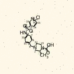 C[C@H]1CN(Cc2ccc(NS(=O)(=O)c3ccc(Cl)nc3)cc2)CCN1C(=O)O